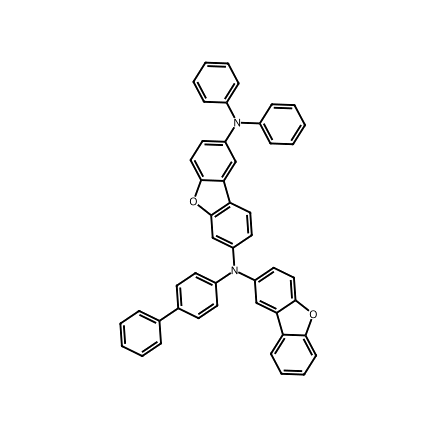 c1ccc(-c2ccc(N(c3ccc4c(c3)oc3ccc(N(c5ccccc5)c5ccccc5)cc34)c3ccc4oc5ccccc5c4c3)cc2)cc1